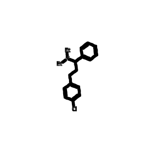 CCN(CC)C(CCc1ccc(Cl)cc1)c1ccccc1